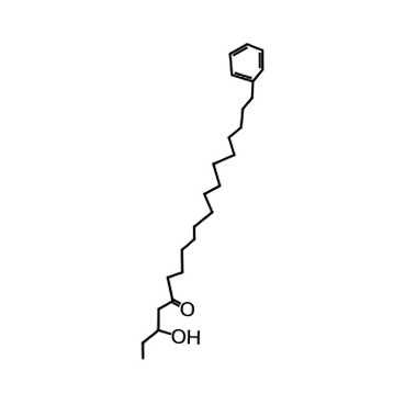 CCC(O)CC(=O)CCCCCCCCCCCCCCc1ccccc1